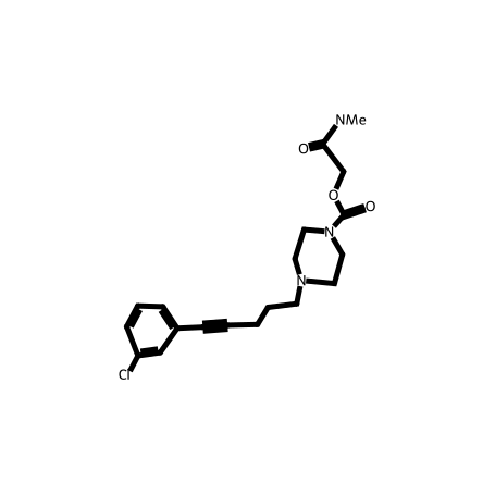 CNC(=O)COC(=O)N1CCN(CCCC#Cc2cccc(Cl)c2)CC1